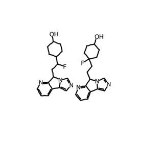 OC1CCC(C(F)CC2c3ncccc3-c3cncn32)CC1.OC1CCC(F)(CCC2c3ncccc3-c3cncn32)CC1